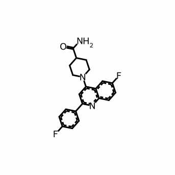 NC(=O)C1CCN(c2cc(-c3ccc(F)cc3)nc3ccc(F)cc23)CC1